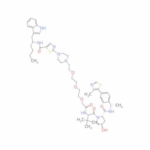 CCCCC(Cc1c[nH]c2ccccc12)NC(=O)c1cnc(N2CCN(CCOCCOCCOCC(=O)NC(C(=O)N3C[C@H](O)C[C@H]3C(=O)N[C@@H](C)c3ccc(-c4scnc4C)cc3)C(C)(C)C)CC2)s1